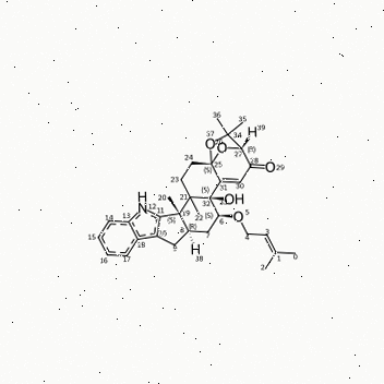 CC(C)=CCO[C@H]1C[C@H]2Cc3c([nH]c4ccccc34)[C@]2(C)C2(C)CC[C@@]34O[C@@H](C(=O)C=C3[C@]12O)C(C)(C)O4